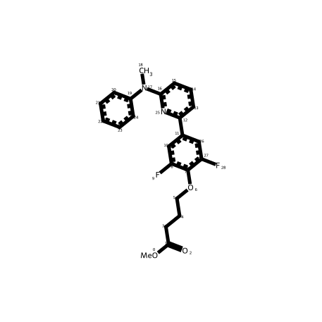 COC(=O)CCCOc1c(F)cc(-c2cccc(N(C)c3ccccc3)n2)cc1F